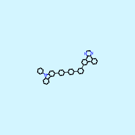 c1ccc(-n2c3ccccc3c3cc(-c4ccc(-c5ccc(-c6cccc(-c7ccc8c(c7)c7ccccc7c7nccnc87)c6)cc5)cc4)ccc32)cc1